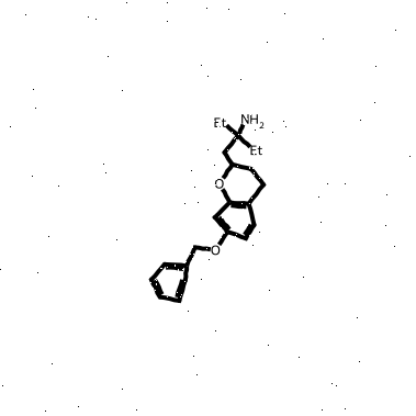 CCC(N)(CC)CC1CCc2ccc(OCc3ccccc3)cc2O1